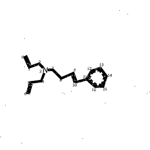 C=CCN(CC=C)CCC=Cc1ccccc1